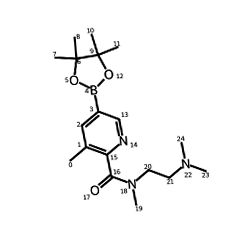 Cc1cc(B2OC(C)(C)C(C)(C)O2)cnc1C(=O)N(C)CCN(C)C